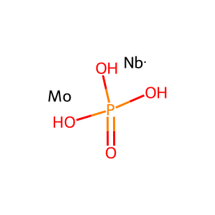 O=P(O)(O)O.[Mo].[Nb]